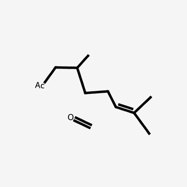 C=O.CC(=O)CC(C)CCC=C(C)C